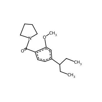 CCC(CC)c1ccc(C(=O)N2CCCC2)c(OC)c1